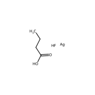 CCCC(=O)O.F.[Ag]